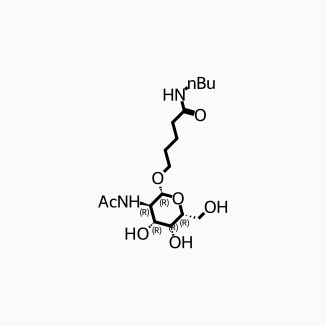 CCCCNC(=O)CCCCO[C@@H]1O[C@H](CO)[C@H](O)[C@H](O)[C@H]1NC(C)=O